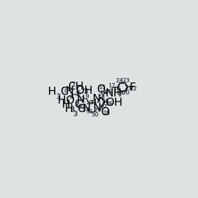 CN(C)C(O)C(O)N(C)CC1c2nc(C(=O)NCc3ccc(F)cc3)c(O)c(=O)n2CCN1C